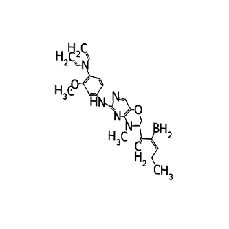 B/C(=C/CC)C(=C)C1COc2cnc(Nc3ccc(N(C=C)C=C)c(OC)c3)nc2N1C